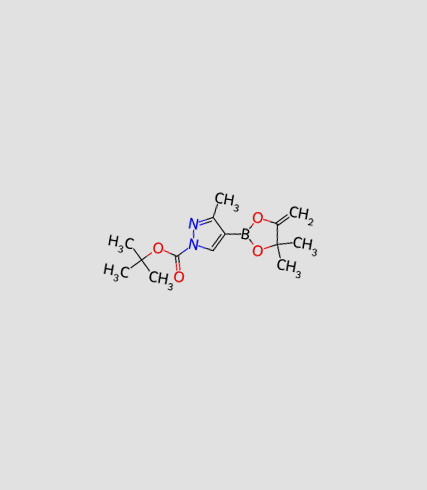 C=C1OB(c2cn(C(=O)OC(C)(C)C)nc2C)OC1(C)C